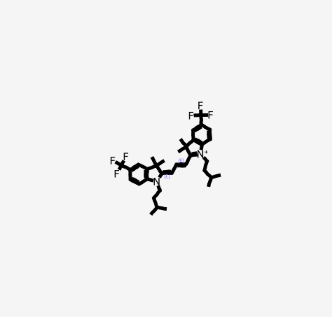 CC(C)CCN1/C(=C/C=C/C2=[N+](CCC(C)C)c3ccc(C(F)(F)F)cc3C2(C)C)C(C)(C)c2cc(C(F)(F)F)ccc21